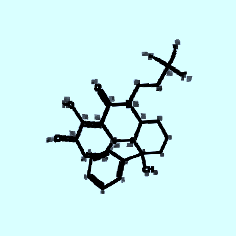 CC1(c2ccccc2)CCCC2N(CCC(F)(F)F)C(=O)c3c(O)c(=O)ccn3N21